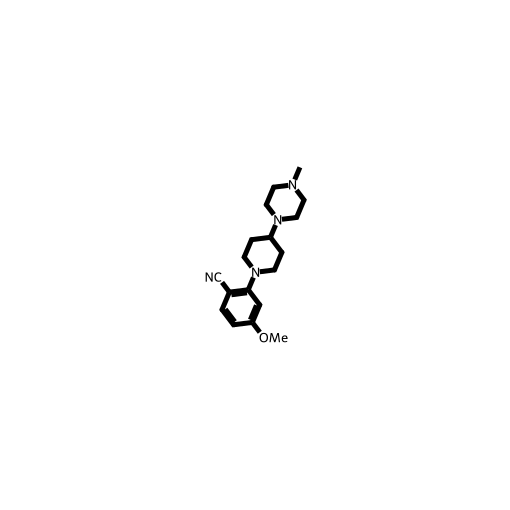 COc1ccc(C#N)c(N2CCC(N3CCN(C)CC3)CC2)c1